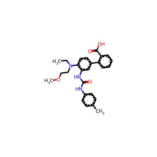 CCN(CCOC)c1ccc(-c2ccccc2C(=O)O)cc1NC(=O)Nc1ccc(C)cc1